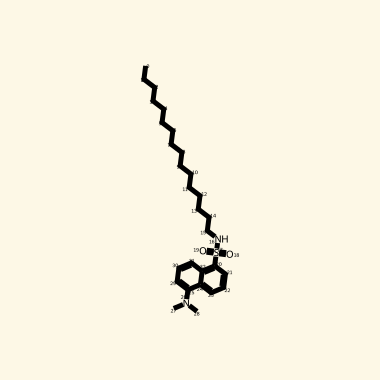 CCCCCCCCCCCCCCCCNS(=O)(=O)c1cccc2c(N(C)C)cccc12